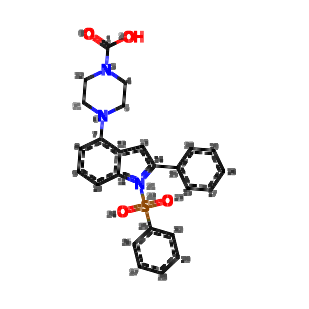 O=C(O)N1CCN(c2cccc3c2cc(-c2ccccc2)n3S(=O)(=O)c2ccccc2)CC1